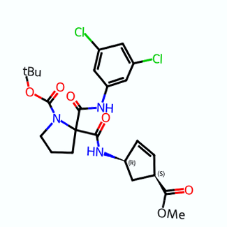 COC(=O)[C@@H]1C=C[C@H](NC(=O)C2(C(=O)Nc3cc(Cl)cc(Cl)c3)CCCN2C(=O)OC(C)(C)C)C1